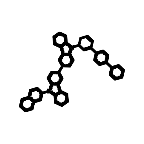 C1=CC(c2ccc(-c3ccccc3)cc2)=CC(n2c3ccccc3c3cc(-c4ccc5c(c4)c4ccccc4n5-c4ccc5ccccc5c4)ccc32)C1